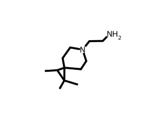 CC1C(C)(C)C12CCN(CCN)CC2